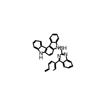 C=C/C=C\C(=C/C)c1nc(Bn2c3ccccc3c3c4c(ccc32)[nH]c2ccccc24)nc2ccccc12